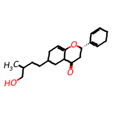 CC(CO)CCC1CC=C2O[C@H](C3=CCCC=C3)CC(=O)C2C1